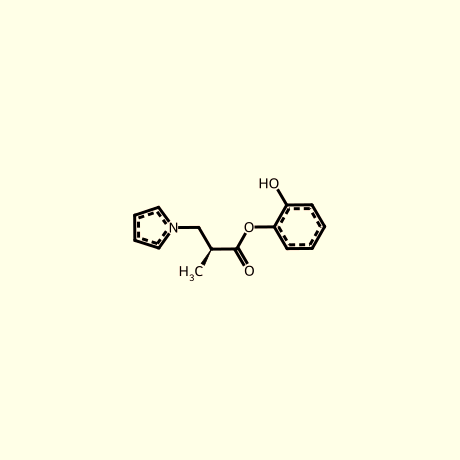 C[C@@H](Cn1cccc1)C(=O)Oc1ccccc1O